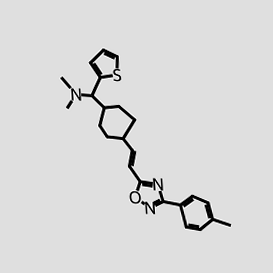 Cc1ccc(-c2noc(C=CC3CCC(C(c4cccs4)N(C)C)CC3)n2)cc1